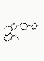 COc1ccccc1N(CCN1CCN(c2cnccn2)CC1)C(=O)O